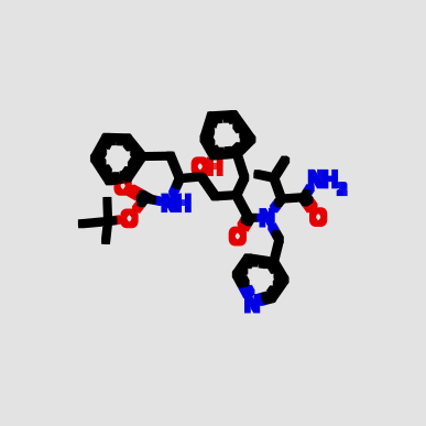 CC(C)C(C(N)=O)N(Cc1ccncc1)C(=O)C(Cc1ccccc1)CC(O)C(Cc1ccccc1)NC(=O)OC(C)(C)C